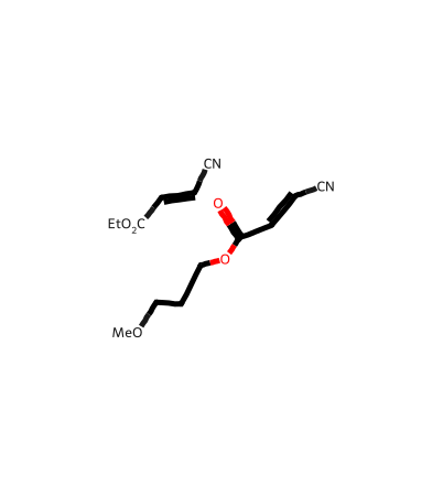 CCOC(=O)C=CC#N.COCCCOC(=O)C=CC#N